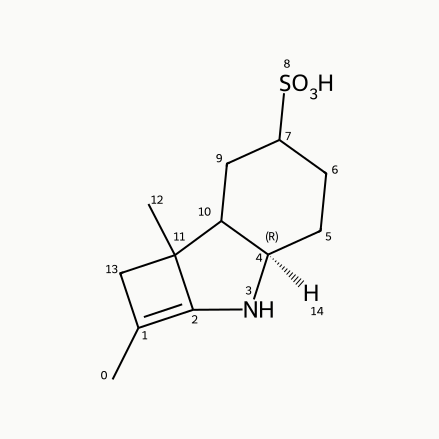 CC1=C2N[C@@H]3CCC(S(=O)(=O)O)CC3C2(C)C1